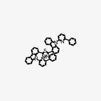 c1ccc(-c2cccc(-n3c4ccccc4c4c(-c5nnc(-c6cccc7c8ccccc8n(-c8cccc(-c9ccccc9)n8)c67)s5)cccc43)n2)cc1